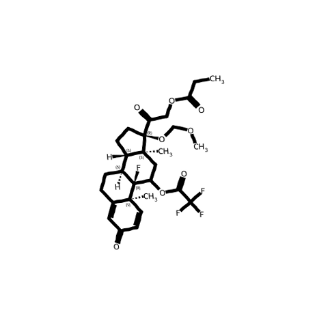 CCC(=O)OCC(=O)[C@@]1(OCOC)CC[C@H]2[C@@H]3CCC4=CC(=O)C=C[C@]4(C)[C@@]3(F)C(OC(=O)C(F)(F)F)C[C@@]21C